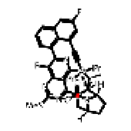 CSc1nc2c3c(nc(-c4cccc5cc(F)cc(C#C[Si](C(C)C)(C(C)C)C(C)C)c45)c(F)c3n1)O[C@@H](C)[C@@H]1[C@@H]3CC[C@H](CN21)N3C(=O)OC(C)(C)C